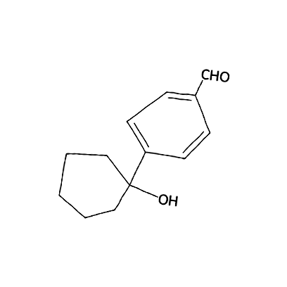 O=Cc1ccc(C2(O)CCCCC2)cc1